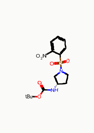 CC(C)(C)OC(=O)N[C@H]1CCN(S(=O)(=O)c2ccccc2[N+](=O)[O-])C1